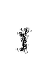 CN(C)C(=O)/C=C/CC[C@@H](CN(C)C(=O)O)C(=O)Nc1cccn(Cc2nc3c(CC(C)(C)C)ncnc3[nH]2)c1=O